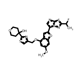 COc1cc(OCc2csc(C3(O)CCOCC3)n2)c2cc(-c3cnc4sc(C(C)F)nn34)oc2c1